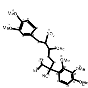 CCC(CC)C(C#N)(CCC(OC(C)=O)C(Cc1ccc(OC)c(OC)c1)[N+](=O)[O-])c1ccc(OC)c(OC)c1OC